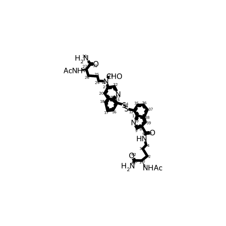 CC(=O)N[C@@H](CCCNC(=O)c1cnc2c(SSc3cccc4cc(N(C=O)CCC[C@@H](NC(C)=O)C(N)=O)cnc34)cccc2c1)C(N)=O